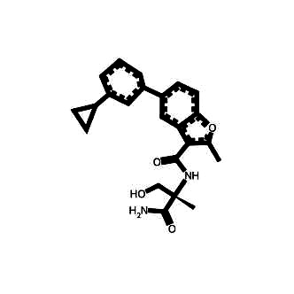 Cc1oc2ccc(-c3cccc(C4CC4)c3)cc2c1C(=O)N[C@@](C)(CO)C(N)=O